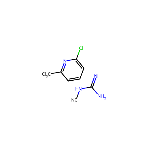 Clc1cccc(C(Cl)(Cl)Cl)n1.N#CNC(=N)N